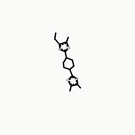 CCc1nc(C2CCC(c3nc(C)c(C)o3)CC2)oc1C